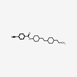 CCCC1CCC(CCC2CCC(OC(=O)c3ccc(C#N)cc3)CC2)CC1